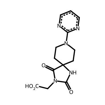 O=C(O)CN1C(=O)NC2(CCN(c3ncccn3)CC2)C1=O